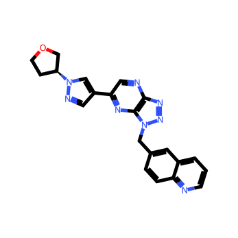 c1cnc2ccc(Cn3nnc4ncc(-c5cnn([C@H]6CCOC6)c5)nc43)cc2c1